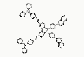 C(=C\c1ccc2c(-c3ccc(-c4ccc5ccccc5c4)cc3)c(-c3ccc(-c4ccc5ccccc5c4)cc3)c3ccc(/C=C/c4ccc(N(c5ccccc5)c5ccccc5)cc4)cc3c2c1)/c1ccc(N(c2ccccc2)c2ccccc2)cc1